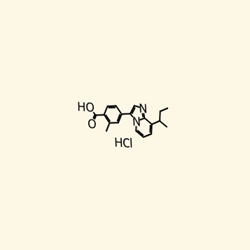 CCC(C)c1cccn2c(-c3ccc(C(=O)O)c(C)c3)cnc12.Cl